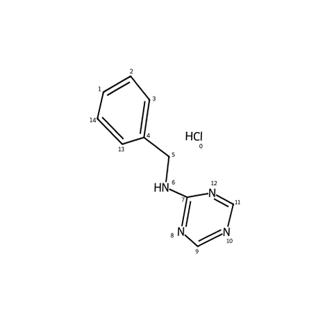 Cl.c1ccc(CNc2ncncn2)cc1